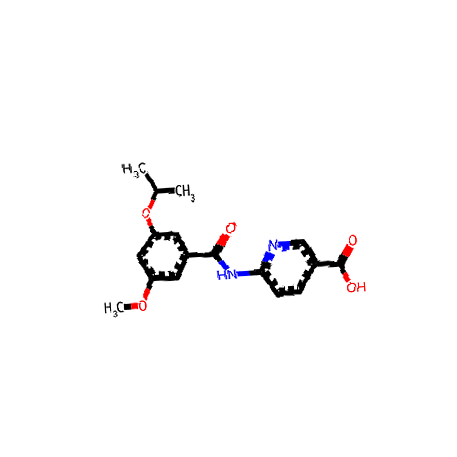 COc1cc(OC(C)C)cc(C(=O)Nc2ccc(C(=O)O)cn2)c1